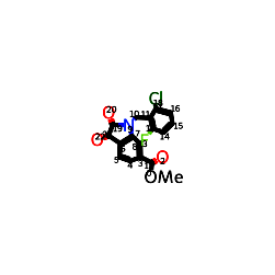 COC(=O)c1ccc2c(c1)N(Cc1c(F)cccc1Cl)C(=O)C2=O